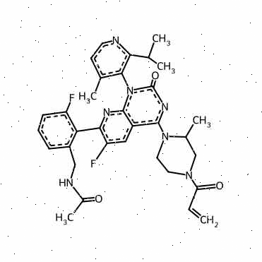 C=CC(=O)N1CCN(c2nc(=O)n(-c3c(C)ccnc3C(C)C)c3nc(-c4c(F)cccc4CNC(C)=O)c(F)cc23)C(C)C1